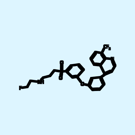 O=S(=O)(CCCNCCF)c1cccc(Oc2cccc(-c3ccnc4c(C(F)(F)F)cccc34)c2)c1